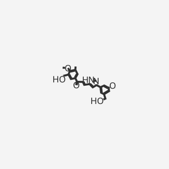 COc1cc(CO)cc(-c2cc(/C=C/C(=O)c3cc(C)c(OC)c(CO)c3)[nH]n2)c1